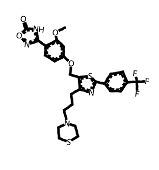 COc1cc(OCc2sc(-c3ccc(C(F)(F)F)cc3)nc2CCCN2CCSCC2)ccc1-c1noc(=O)[nH]1